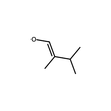 C/C(=C\[O])C(C)C